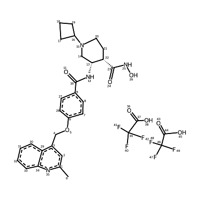 Cc1cc(COc2ccc(C(=O)N[C@@H]3CN(C4CCC4)CC[C@@H]3C(=O)NO)cc2)c2ccccc2n1.O=C(O)C(F)(F)F.O=C(O)C(F)(F)F